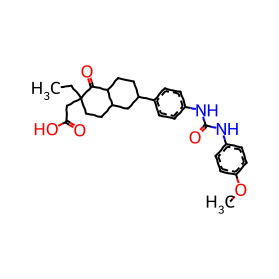 CCC1(CC(=O)O)CCC2CC(c3ccc(NC(=O)Nc4ccc(OC)cc4)cc3)CCC2C1=O